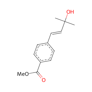 COC(=O)c1ccc(C=CC(C)(C)O)cc1